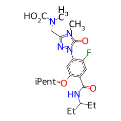 CCC[C@H](C)Oc1cc(-n2nc(CN(C)C(=O)O)n(C)c2=O)c(F)cc1C(=O)NC(CC)CC